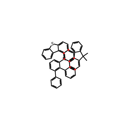 CC1(C)c2ccccc2-c2c(N(c3cccc(-c4ccccc4)c3-c3ccccc3-c3ccccc3)c3cccc4sc5ccccc5c34)cccc21